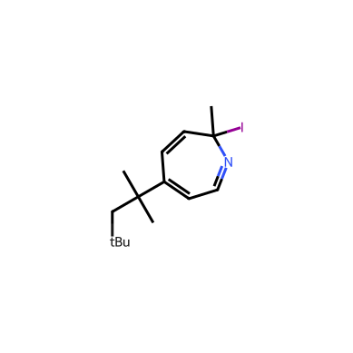 CC(C)(C)CC(C)(C)C1=CC=NC(C)(I)C=C1